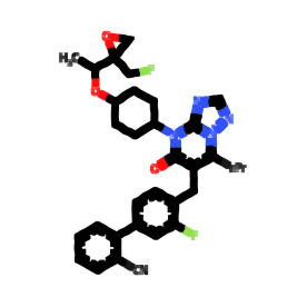 CCCc1c(Cc2ccc(-c3ccccc3C#N)cc2F)c(=O)n(C2CCC(OC(C)C3(CF)CO3)CC2)c2ncnn12